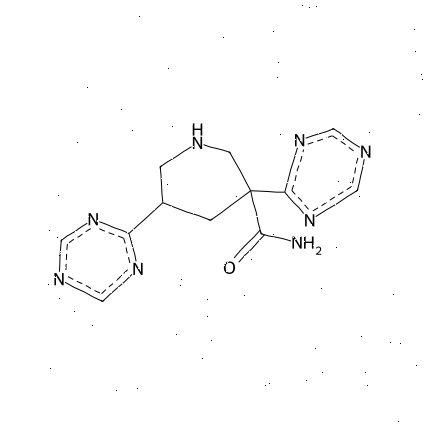 NC(=O)C1(c2ncncn2)CNCC(c2ncncn2)C1